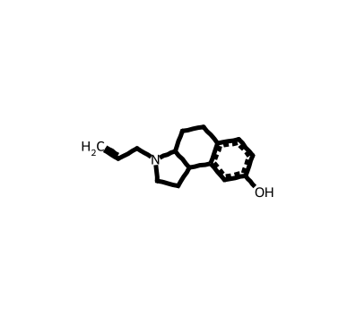 C=CCN1CCC2c3cc(O)ccc3CCC21